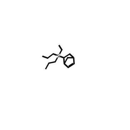 CCC[Si](CC)(CCC)C1CC2C=CC1C2